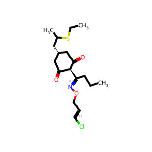 CCC/C(=N\OC/C=C/Cl)[C@H]1C(=O)C[C@H](CC(C)SCC)CC1=O